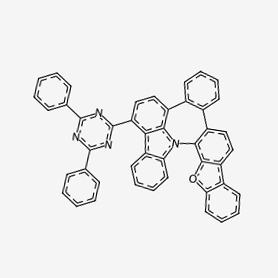 c1ccc(-c2nc(-c3ccccc3)nc(-c3ccc4c5c3c3ccccc3n5-c3c(ccc5c3oc3ccccc35)-c3ccccc3-4)n2)cc1